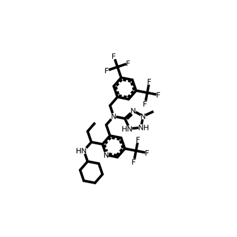 CCC(NC1CCCCC1)c1ncc(C(F)(F)F)cc1CN(Cc1cc(C(F)(F)F)cc(C(F)(F)F)c1)C1=NN(C)NN1